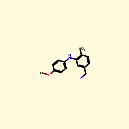 CCOc1ccc(Nc2cc(CI)ccc2[N+](=O)[O-])cc1